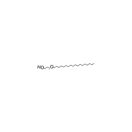 CCCCCCCCCCCCCCCCCCO[CH]CCO